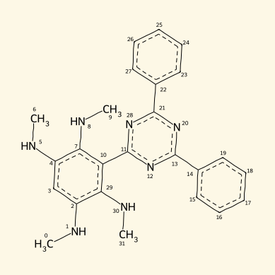 CNc1cc(NC)c(NC)c(-c2nc(-c3ccccc3)nc(-c3ccccc3)n2)c1NC